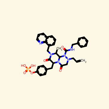 C=CCN1CC(=O)N2C(Cc3ccc(OP(=O)(O)O)cc3)C(=O)N(Cc3cccc4cccnc34)C(C)C2N1C(=O)NCc1ccccc1